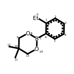 CCc1ccccc1B1OCC(C)(C)CO1